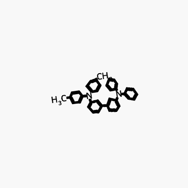 Cc1ccc(N(c2ccc(C)cc2)c2cccc(-c3cccc(N(c4ccccc4)c4ccccc4)c3)c2)cc1